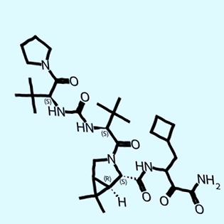 CC(C)(C)[C@H](NC(=O)N[C@H](C(=O)N1CC2[C@@H]([C@H]1C(=O)NC(CC1CCC1)C(=O)C(N)=O)C2(C)C)C(C)(C)C)C(=O)N1CCCC1